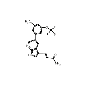 Cc1cc(OC(F)(F)F)cc(-c2cnc3[nH]cc(/C=C/C(N)=O)c3c2)c1